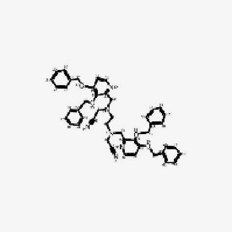 N#CCN(CCN(CC#N)Cc1nccc(OCc2ccccc2)c1OCc1ccccc1)Cc1nccc(OCc2ccccc2)c1OCc1ccccc1